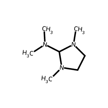 CN(C)C1N(C)CCN1C